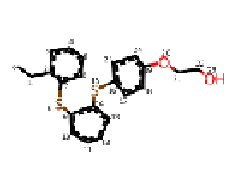 CCc1ccccc1Sc1ccccc1Sc1ccc(OCCO)cc1